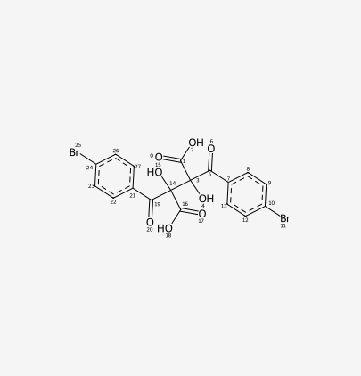 O=C(O)C(O)(C(=O)c1ccc(Br)cc1)C(O)(C(=O)O)C(=O)c1ccc(Br)cc1